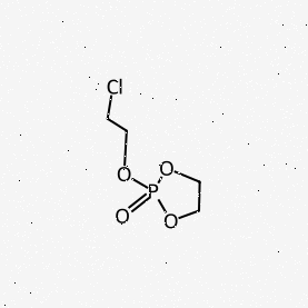 O=P1(OCCCl)OCCO1